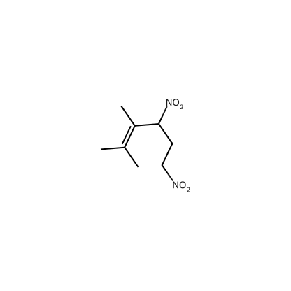 CC(C)=C(C)C(CC[N+](=O)[O-])[N+](=O)[O-]